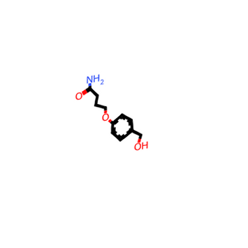 NC(=O)CCCOc1ccc(CO)cc1